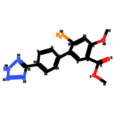 COC(=O)c1cc(-c2ccc(-c3nn[nH]n3)cc2)c(P)cc1OC